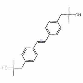 CC(C)(O)Cc1ccc(/C=C/c2ccc(CC(C)(C)O)cc2)cc1